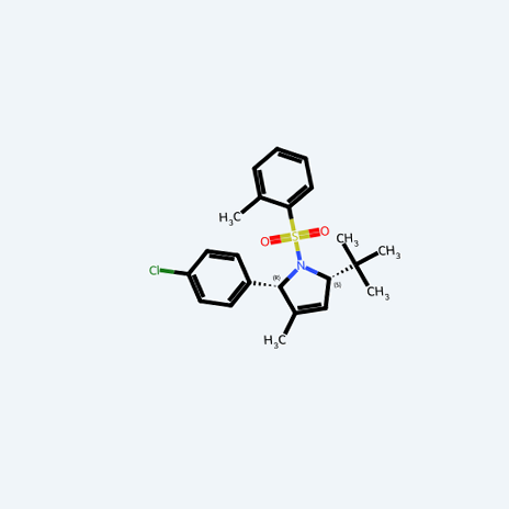 CC1=C[C@@H](C(C)(C)C)N(S(=O)(=O)c2ccccc2C)[C@H]1c1ccc(Cl)cc1